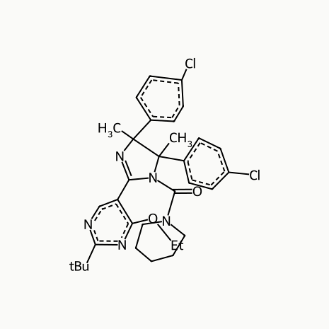 CCOc1nc(C(C)(C)C)ncc1C1=NC(C)(c2ccc(Cl)cc2)C(C)(c2ccc(Cl)cc2)N1C(=O)N1CCCCC1